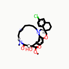 COC(=O)[C@]1(O)CC(=O)N(C)CC/C=C\CCCCN2C[C@@]3(CCCc4cc(Cl)ccc43)COc3ccc1cc32